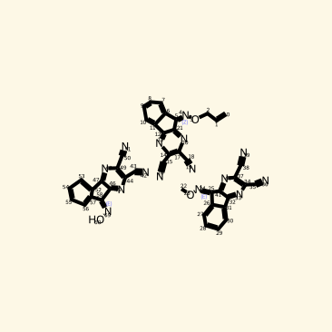 C=CCO/N=C1/c2ccccc2-c2nc(C#N)c(C#N)nc21.CO/N=C1\c2ccccc2-c2nc(C#N)c(C#N)nc21.N#Cc1nc2c(nc1C#N)-c1ccccc1/C2=N\O